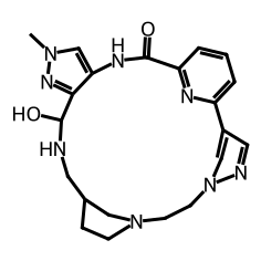 Cn1cc2c(n1)C(O)NCC1CCN(CCn3cc(cn3)-c3cccc(n3)C(=O)N2)C1